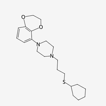 c1cc2c(c(N3CCN(CCCSC4CCCCC4)CC3)c1)OCCO2